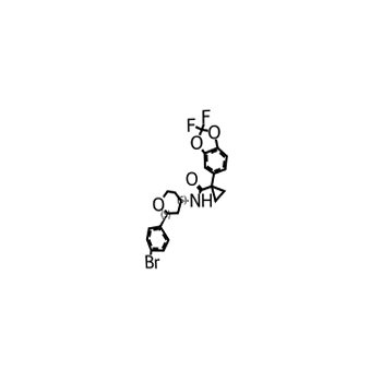 O=C(N[C@H]1CCO[C@H](c2ccc(Br)cc2)C1)C1(c2ccc3c(c2)OC(F)(F)O3)CC1